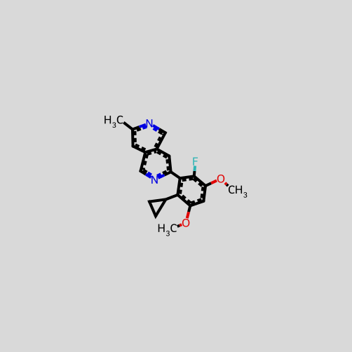 COc1cc(OC)c(C2CC2)c(-c2cc3cnc(C)cc3cn2)c1F